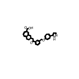 O=C(O)C1=C=CC=C2CCC(CC(=O)c3cccc(COC4=CCC=C(c5ccn[nH]5)C=C4)c3)CC2=C1